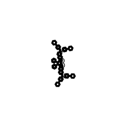 c1ccc(-c2c(-c3ccccc3)c3c4cc5ccc(N(c6ccc(C7CCCCC7)cc6)c6ccc(C7CCCCC7)cc6)cc5cc4oc3c3oc4cc5cc(N(c6ccc(C7CCCCC7)cc6)c6ccc(C7CCCCC7)cc6)ccc5cc4c23)cc1